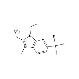 CCn1c(CN)[n+](C)c2ccc(C(F)(F)F)cc21